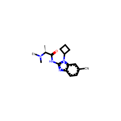 CCN(C)[C@H](C)C(=O)Nc1nc2ccc(C#N)cc2n1C1CCC1